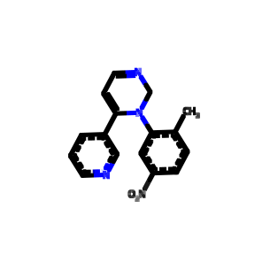 Cc1ccc([N+](=O)[O-])cc1N1CN=CC=C1c1cccnc1